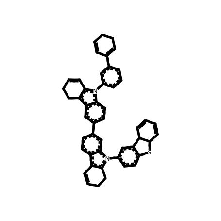 C1=CC2Sc3ccc(-n4c5c(c6ccc(-c7ccc8c(c7)c7c(n8-c8cccc(C9=CCCC=C9)c8)C=CCC7)cc64)C=CCC5)cc3C2C=C1